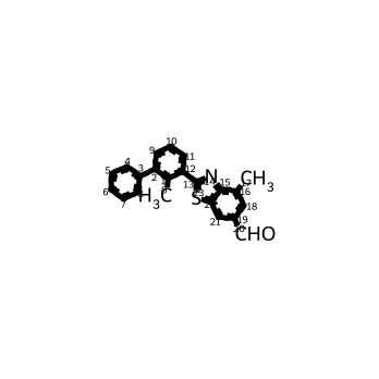 Cc1c(-c2ccccc2)cccc1-c1nc2c(C)cc(C=O)cc2s1